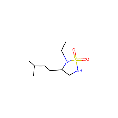 CCN1C(CCC(C)C)CNS1(=O)=O